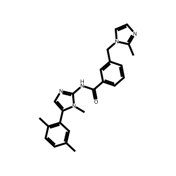 Cc1ccc(C)c(-c2cnc(NC(=O)c3cccc(Cn4ccnc4C)c3)n2C)c1